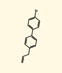 C=CCc1ccc(-c2ccc(Br)cc2)cc1